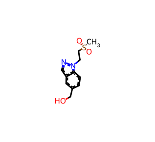 CS(=O)(=O)CCn1ncc2cc(CO)ccc21